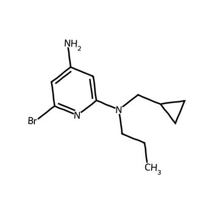 CCCN(CC1CC1)c1cc(N)cc(Br)n1